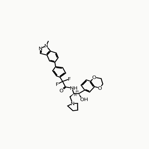 Cn1ncc2cc(-c3ccc(C(F)(F)C(=O)N[C@H](CN4CCCC4)[C@H](O)c4ccc5c(c4)OCCO5)cc3)ccc21